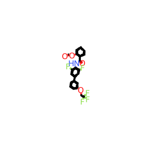 O=COc1ccccc1C(=O)Nc1c(F)cc(-c2cccc(OCC(F)(F)F)c2)cc1F